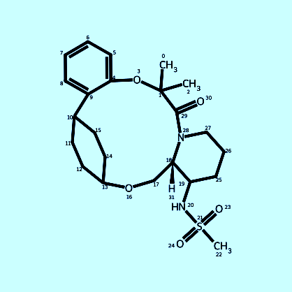 CC1(C)Oc2ccccc2C2CCC(CC2)OC[C@H]2C(NS(C)(=O)=O)CCCN2C1=O